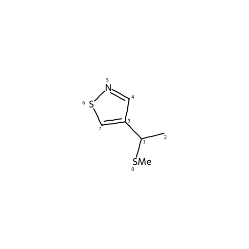 CSC(C)c1cnsc1